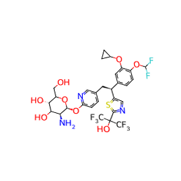 N[C@H]1C(O)[C@H](O)C(CO)O[C@H]1Oc1ccc(C[C@@H](c2ccc(OC(F)F)c(OC3CC3)c2)c2cnc(C(O)(C(F)(F)F)C(F)(F)F)s2)cn1